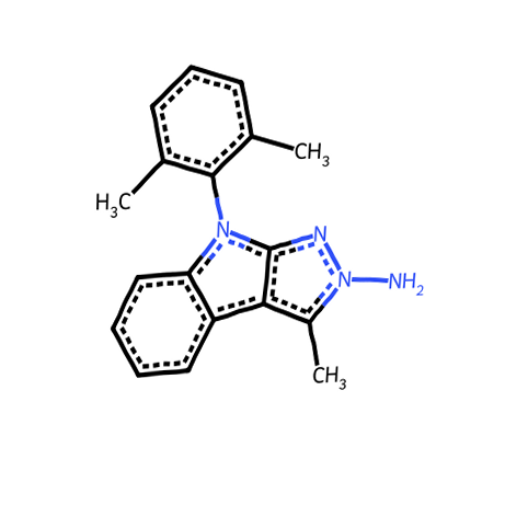 Cc1cccc(C)c1-n1c2ccccc2c2c(C)n(N)nc21